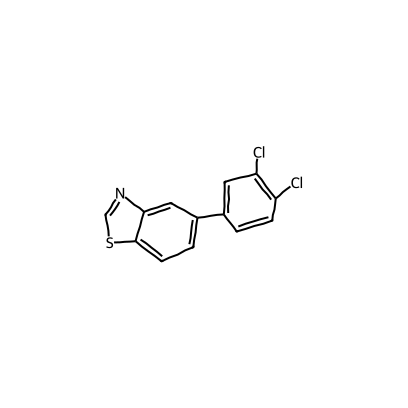 Clc1ccc(-c2ccc3scnc3c2)cc1Cl